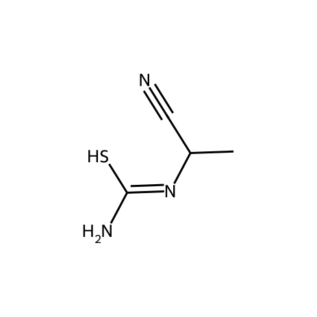 CC(C#N)N=C(N)S